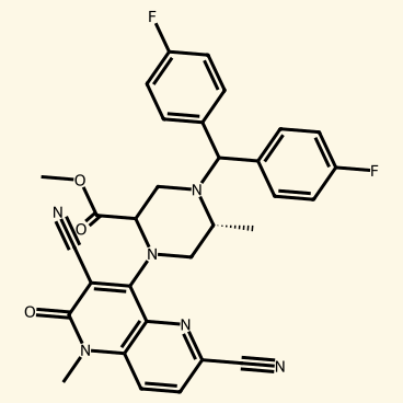 COC(=O)C1CN(C(c2ccc(F)cc2)c2ccc(F)cc2)[C@H](C)CN1c1c(C#N)c(=O)n(C)c2ccc(C#N)nc12